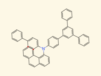 c1ccc(-c2ccc(N(c3ccc(-c4cc(-c5ccccc5)cc(-c5ccccc5)c4)cc3)c3cccc4ccc5ccccc5c34)cc2)cc1